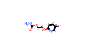 NC(=O)OCCOc1ccc(I)cn1